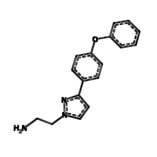 NCCn1ccc(-c2ccc(Oc3ccccc3)cc2)n1